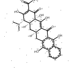 CN(C)[C@@H]1C(O)=C(C(N)=O)C(=O)[C@@]2(O)C(O)=C3C(=O)c4c(c(O)c5ccccc5c4O)C[C@H]3C[C@@H]12